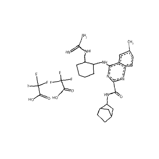 Cc1ccc2nc(C(=O)NC3CC4CCC3C4)nc(NC3CCCCC3NC(=N)N)c2c1.O=C(O)C(F)(F)F.O=C(O)C(F)(F)F